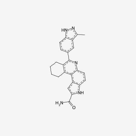 Cc1n[nH]c2ccc(-c3nc4ccc5[nH]c(C(N)=O)cc5c4c4c3CCCC4)cc12